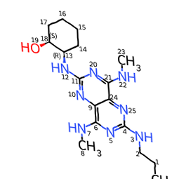 CCCNc1nc(NC)c2nc(N[C@@H]3CCCC[C@@H]3O)nc(NC)c2n1